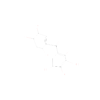 O=C(C1=CC(O)C(O)C(O)C1O)C1=C(O)C(O)=C(O)C(O)C1